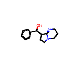 OC(c1ccccc1)C1CCN2CCCN=C12